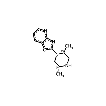 C[C@@H]1CN(c2nc3ncccc3o2)[C@@H](C)CN1